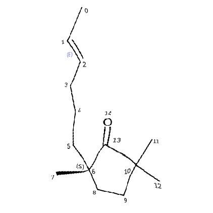 C/C=C/CCC[C@@]1(C)CCC(C)(C)C1=O